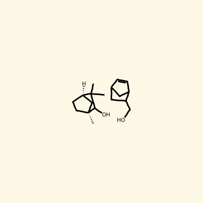 CC1(C)C(O)[C@@]2(C)CC[C@@H]1C2.OCC1CC2C=CC1C2